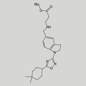 CC1(C)CCC(c2nc(N3CCc4cc(CNCCC(=O)OC(C)(C)C)ccc43)no2)CC1